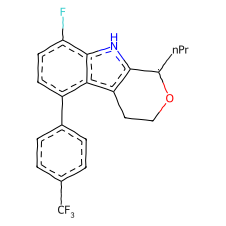 CCC[C]1OCCc2c1[nH]c1c(F)ccc(-c3ccc(C(F)(F)F)cc3)c21